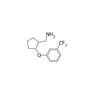 NCC1CCCC1Oc1cccc(C(F)(F)F)c1